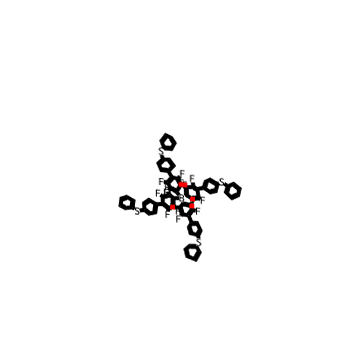 Fc1c(F)c([B-](c2c(F)c(F)c(-c3ccc(Sc4ccccc4)cc3)c(F)c2F)(c2c(F)c(F)c(-c3ccc(Sc4ccccc4)cc3)c(F)c2F)c2c(F)c(F)c(-c3ccc(Sc4ccccc4)cc3)c(F)c2F)c(F)c(F)c1-c1ccc(Sc2ccccc2)cc1